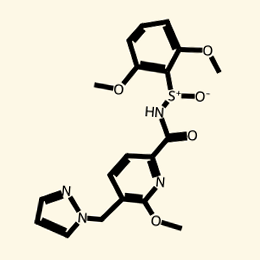 COc1cccc(OC)c1[S+]([O-])NC(=O)c1ccc(Cn2cccn2)c(OC)n1